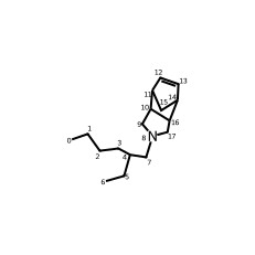 CCCCC(CC)CN1CC2C3C=CC(C3)C2C1